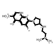 CN(C)CCNC1CCN(c2nc3[nH]cc(C(=O)O)c(=O)c3cc2F)C1